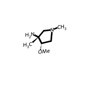 CO[C@H]1CN(C)C[C@@]1(C)N